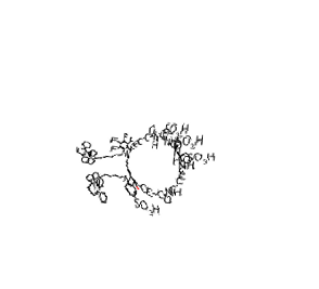 CC12CCCCCC(=O)NCCCCCNC(=O)C(CS(=O)(=O)O)NC(=O)C(CS(=O)(=O)O)NC(=O)C(CS(=O)(=O)O)NC(=O)CCCCCC3(C)/C(=C/C=C/C=C/C1=[N+](CCCCCC(=O)ON1C(=O)CCC1=O)c1ccc(S(=O)(=O)O)cc12)N(CCCCCC(=O)ON1C(=O)CCC1=O)c1c(F)c(F)c(F)c(F)c13